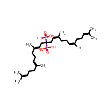 CC(C)=CCCC(C)=CCCC(C)=CCC(CC=C(C)CCC=C(C)CCC=C(C)C)(P(=O)(O)O)P(=O)(O)O